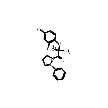 CC(C)(Oc1ccc(Cl)cc1F)C(=O)N1CCCN1c1ccccc1